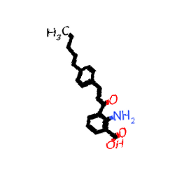 CCCCCc1ccc(/C=C/C(=O)c2cccc(C(=O)O)c2N)cc1